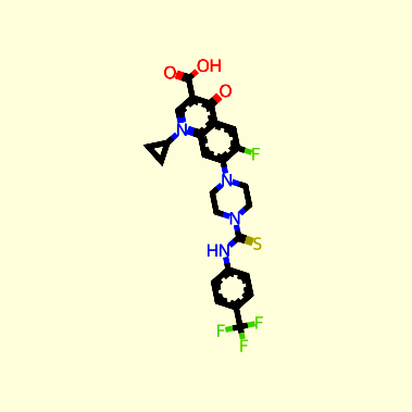 O=C(O)c1cn(C2CC2)c2cc(N3CCN(C(=S)Nc4ccc(C(F)(F)F)cc4)CC3)c(F)cc2c1=O